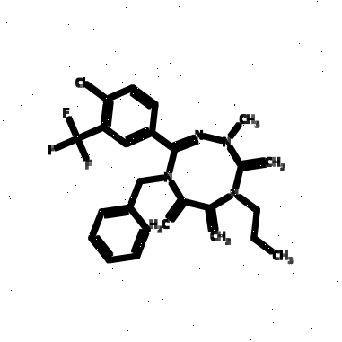 C=C1C(=C)N(Cc2ccccc2)/C(c2ccc(Cl)c(C(F)(F)F)c2)=N\N(C)C(=C)N1CCC